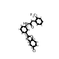 O=C(Cc1ccccc1C(F)(F)F)Nc1cccc(-c2nc3cc(Cl)ccc3o2)c1